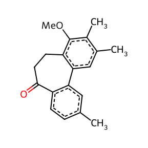 COc1c(C)c(C)cc2c1CCC(=O)c1ccc(C)cc1-2